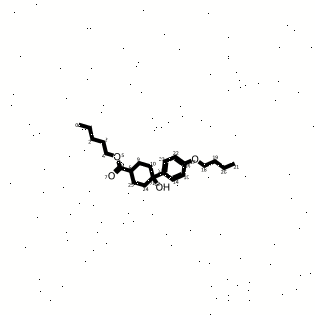 CCCCCOC(=O)C1CCC(O)(c2ccc(OCCCC)cc2)CC1